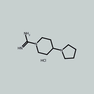 Cl.N=C(N)N1CCC(N2CCCC2)CC1